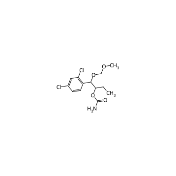 CCC(OC(N)=O)C(OCOC)c1ccc(Cl)cc1Cl